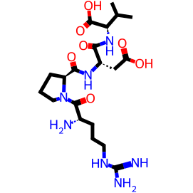 CC(C)[C@H](NC(=O)[C@H](CC(=O)O)NC(=O)[C@@H]1CCCN1C(=O)[C@@H](N)CCCNC(=N)N)C(=O)O